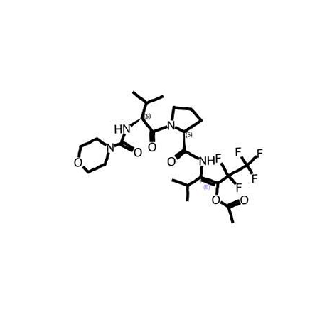 CC(=O)O/C(=C(/NC(=O)[C@@H]1CCCN1C(=O)[C@@H](NC(=O)N1CCOCC1)C(C)C)C(C)C)C(F)(F)C(F)(F)F